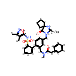 CCCCC1=NC2(CCCC2)C(=O)N1Cc1ccc(-c2ccccc2S(=O)(=O)Nc2onc(C)c2C)c(CN(C)C(=O)Cc2ccccc2)c1